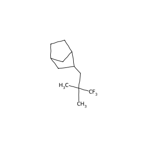 CC(C)(CC1CC2CCC1C2)C(F)(F)F